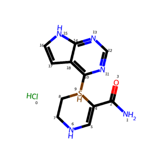 Cl.NC(=O)C1=CNCC[SH]1c1ncnc2[nH]ccc12